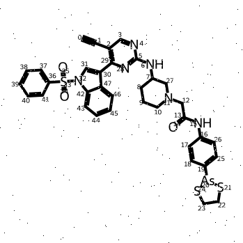 C#Cc1cnc(NC2CCCN(CC(=O)Nc3ccc([As]4SCCS4)cc3)C2)nc1-c1cn(S(=O)(=O)c2ccccc2)c2ccccc12